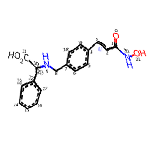 O=C(/C=C/c1ccc(CN[C@H](C(=O)O)c2ccccc2)cc1)NO